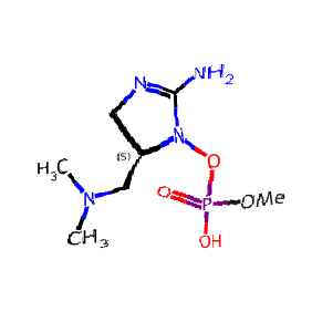 COP(=O)(O)ON1C(N)=NC[C@@H]1CN(C)C